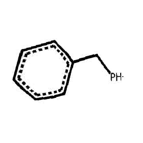 [PH]Cc1ccccc1